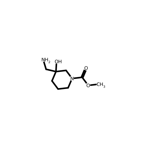 COC(=O)N1CCCC(O)(CN)C1